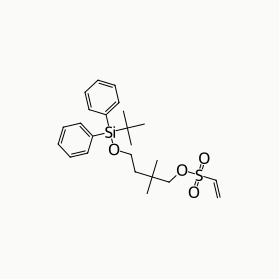 C=CS(=O)(=O)OCC(C)(C)CCO[Si](c1ccccc1)(c1ccccc1)C(C)(C)C